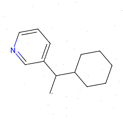 [CH2]C(c1cccnc1)C1CCCCC1